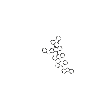 c1ccc2c(c1)N(c1c3ccccc3c(N3c4ccccc4N(c4cccc5c4sc4ccccc45)c4cc5c(cc43)oc3ccccc35)c3ccccc13)c1ccccc1N2c1cccc2c1sc1ccccc12